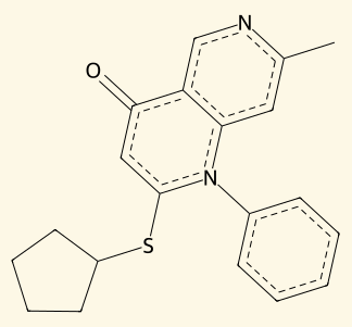 Cc1cc2c(cn1)c(=O)cc(SC1CCCC1)n2-c1ccccc1